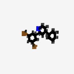 Brc1cc(Br)cc(-c2cc(-c3ccccc3)ccn2)c1